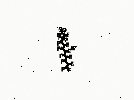 O=S(=O)([O-])C(F)C(F)(F)C(F)C(F)C(F)C(F)C(F)C(F)C(F)C(F)C(F)F.[K+]